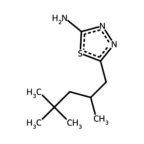 CC(Cc1nnc(N)s1)CC(C)(C)C